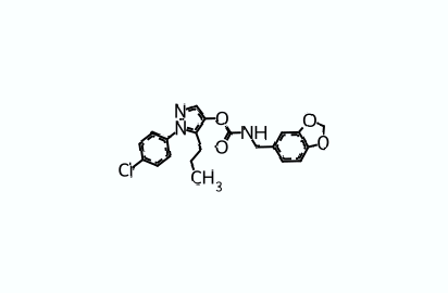 CCCc1c(OC(=O)NCc2ccc3c(c2)OCO3)cnn1-c1ccc(Cl)cc1